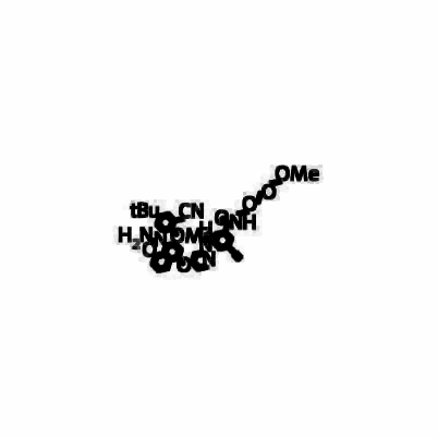 C#Cc1cc(Nc2cc(Oc3ccc(N(C(N)=O)c4cc(C(C)(C)C)cc(CC#N)c4OC)c4ccccc34)ccn2)cc(C(=O)NCCOCCOCCOC)c1